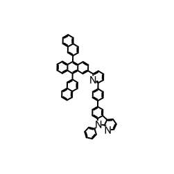 c1ccc(-n2c3ccc(-c4ccc(-c5cccc(-c6ccc7c(-c8ccc9ccccc9c8)c8ccccc8c(-c8ccc9ccccc9c8)c7c6)n5)cc4)cc3c3cccnc32)cc1